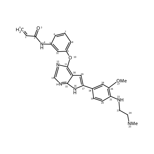 C=CC(=O)Nc1cccc(Oc2ncnc3[nH]c(-c4ccc(NCCNC)c(OC)c4)cc23)c1